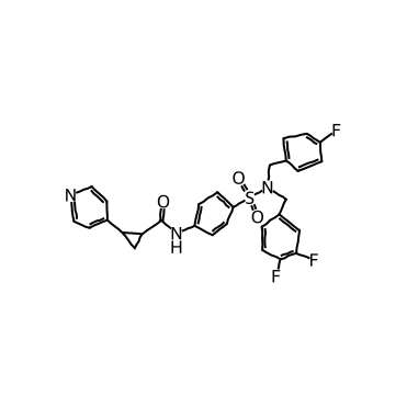 O=C(Nc1ccc(S(=O)(=O)N(Cc2ccc(F)cc2)Cc2ccc(F)c(F)c2)cc1)C1CC1c1ccncc1